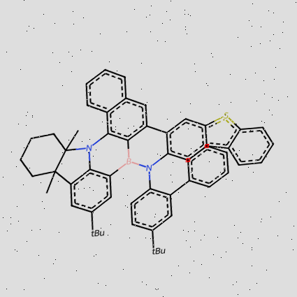 CC(C)(C)c1ccc(N2B3c4cc(C(C)(C)C)cc5c4N(c4c3c(cc3ccccc43)-c3cc4sc6ccccc6c4cc32)C2(C)CCCCC52C)c(-c2ccccc2)c1